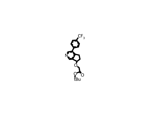 CC(C)(C)OC(=O)COC1CCc2c(-c3ccc(C(F)(F)F)cc3)cncc21